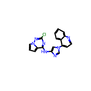 Clc1nc(Nc2cn(-c3ccnc4ccccc34)cn2)c2cccn2n1